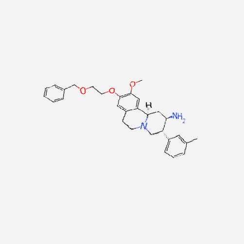 COc1cc2c(cc1OCCOCc1ccccc1)CCN1C[C@@H](c3cccc(C)c3)[C@H](N)C[C@H]21